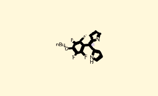 CCCCOc1c(F)c(F)c(/C(=C2\C=CC=N2)c2ccc[nH]2)c(F)c1F